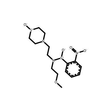 COCCN(CCN1CC[S+]([O-])CC1)[S+]([O-])c1ccccc1[N+](=O)[O-]